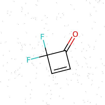 O=C1C=CC1(F)F